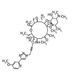 CC[C@H]1OC(=O)[C@@](C)(F)C(=O)[C@H](C)[C@@H](O[C@@H]2O[C@H](C)CC(N(C)C)C2O)[C@](C)(OC)C[C@@H](C)C(=O)[C@H](C)[C@@H](NCC#CCn2cc(-c3cc(OC)ccn3)nn2)[C@]1(C)O